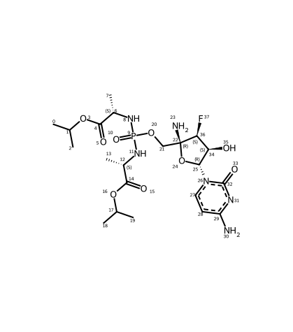 CC(C)OC(=O)[C@H](C)NP(=O)(N[C@@H](C)C(=O)OC(C)C)OC[C@@]1(N)O[C@@H](n2ccc(N)nc2=O)[C@H](O)[C@@H]1F